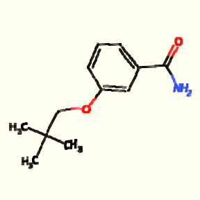 CC(C)(C)COc1cccc(C(N)=O)c1